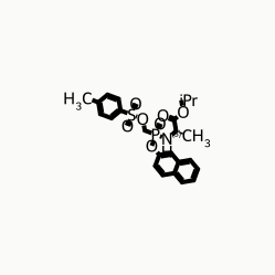 Cc1ccc(S(=O)(=O)OCP(=O)(N[C@@H](C)C(=O)OC(C)C)Oc2ccc3ccccc3c2)cc1